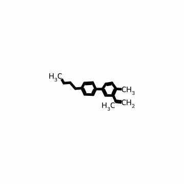 C=C(C)c1cc(-c2ccc(CCCC)cc2)ccc1C